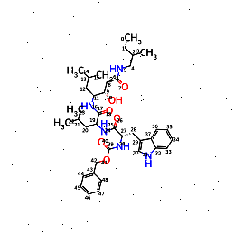 CCC(C)CNC(=O)C[C@H](O)[C@H](CC(C)C)NC(=O)[C@H](CC(C)C)NC(=O)[C@H](Cc1c[nH]c2ccccc12)NC(=O)OCc1ccccc1